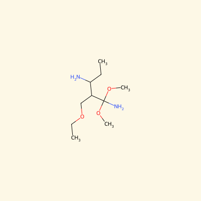 CCOCC(C(N)CC)C(N)(OC)OC